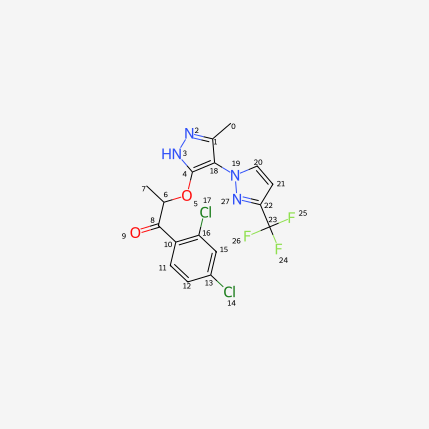 Cc1n[nH]c(OC(C)C(=O)c2ccc(Cl)cc2Cl)c1-n1ccc(C(F)(F)F)n1